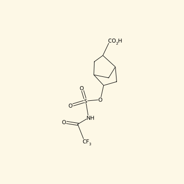 O=C(O)C1CC2CC1CC2OS(=O)(=O)NC(=O)C(F)(F)F